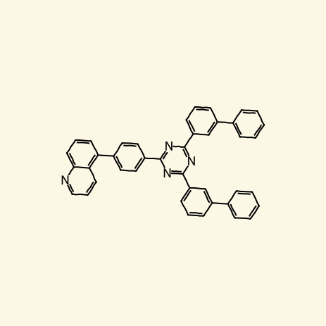 c1ccc(-c2cccc(-c3nc(-c4ccc(-c5cccc6ncccc56)cc4)nc(-c4cccc(-c5ccccc5)c4)n3)c2)cc1